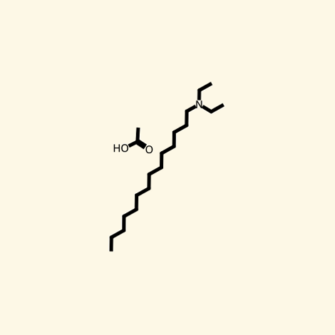 CC(=O)O.CCCCCCCCCCCCCCN(CC)CC